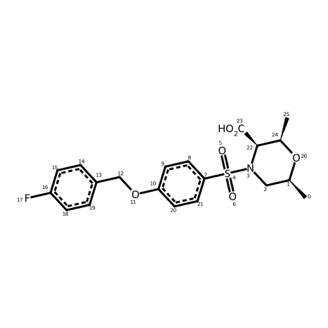 C[C@H]1CN(S(=O)(=O)c2ccc(OCc3ccc(F)cc3)cc2)[C@@H](C(=O)O)[C@@H](C)O1